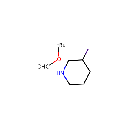 CC(C)(C)OC=O.IC1CCCNC1